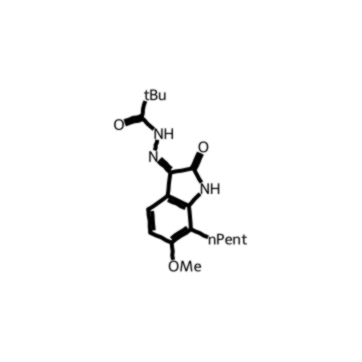 CCCCCc1c(OC)ccc2c1NC(=O)/C2=N\NC(=O)C(C)(C)C